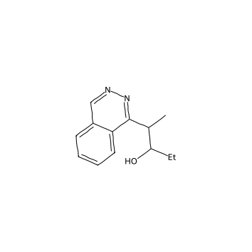 CCC(O)C(C)c1nncc2ccccc12